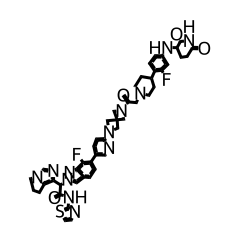 O=C1CCC(Nc2ccc(C3CCN(CC(=O)N4CC5(C4)CN(c4ccc(-c6ccc7cn(C(C(=O)Nc8nccs8)c8ncn9c8CCC9)nc7c6F)cn4)C5)CC3)c(F)c2)C(=O)N1